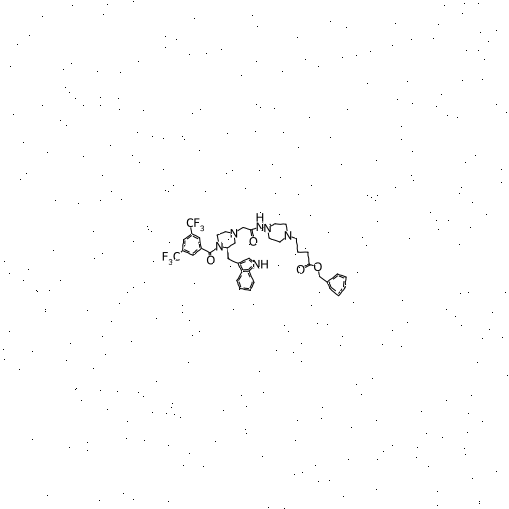 O=C(CN1CCN(C(=O)c2cc(C(F)(F)F)cc(C(F)(F)F)c2)[C@H](Cc2c[nH]c3ccccc23)C1)NN1CCN(CCCC(=O)OCc2ccccc2)CC1